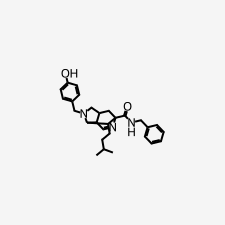 CC(C)CCC1C2C3C=NC1(C(=O)NCc1ccccc1)CC3CN2Cc1ccc(O)cc1